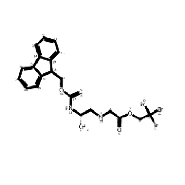 C[C@@H](CNCC(=O)OCC(Br)(Br)Br)NC(=O)OCC1c2ccccc2-c2ccccc21